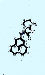 CN1CCCN2C1=NC(=O)/C2=C\c1cc2c3c(c1)CCCN3CCC2